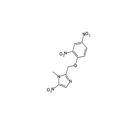 Cn1c([N+](=O)[O-])cnc1COc1ccc([N+](=O)[O-])cc1[N+](=O)[O-]